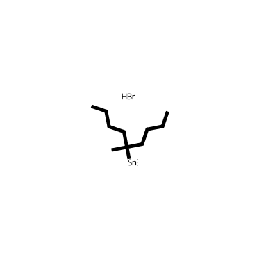 Br.CCCC[C](C)([Sn])CCCC